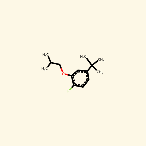 CC(C)COc1cc(C(C)(C)C)ccc1F